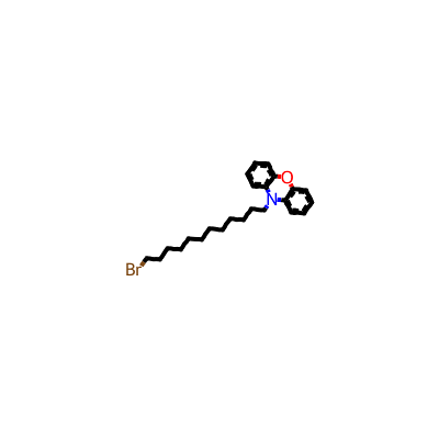 BrCCCCCCCCCCCCN1c2ccccc2Oc2ccccc21